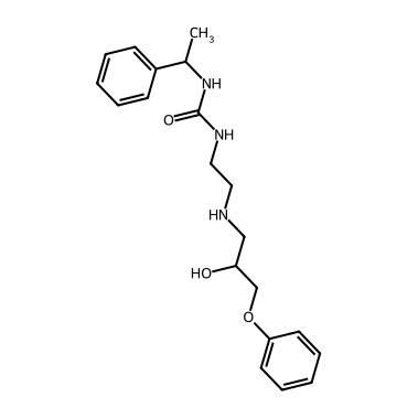 CC(NC(=O)NCCNCC(O)COc1ccccc1)c1ccccc1